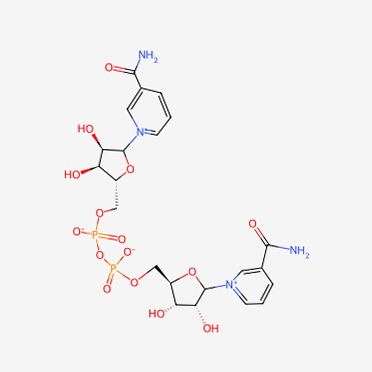 NC(=O)c1ccc[n+](C2O[C@H](COP(=O)([O-])OP(=O)([O-])OC[C@H]3OC([n+]4cccc(C(N)=O)c4)[C@H](O)[C@@H]3O)[C@@H](O)[C@H]2O)c1